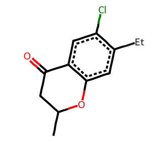 CCc1cc2c(cc1Cl)C(=O)CC(C)O2